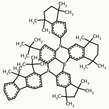 CC(C)(C)c1cc2c3c(c1)N(c1ccc4c(c1C(C)(C)C)C(C)(C)c1ccccc1-4)c1cc4c(cc1B3c1cc3c(cc1N2c1ccc2c(c1)C(C)(C)CCC2(C)C)C(C)(C)CCC3(C)C)C(C)(C)CC4(C)C